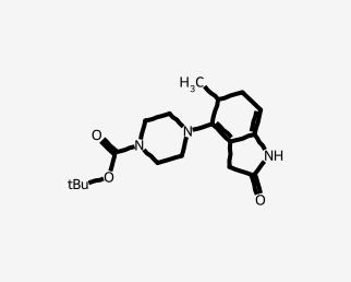 CC1CC=C2NC(=O)CC2=C1N1CCN(C(=O)OC(C)(C)C)CC1